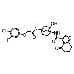 O=C(COc1ccc(Cl)c(F)c1)NC12CCC(NC(=O)c3coc4c3C(=O)CCC4)(CC1)C(O)C2